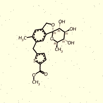 COC(=O)c1ccc(Cc2cc3c(cc2C)CO[C@]32O[C@H](C)[C@@H](O)[C@H](O)[C@H]2O)s1